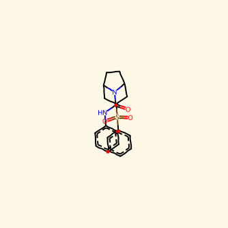 O=C(Nc1ccccc1)N1C2CCC1CC(S(=O)(=O)c1ccccc1)C2